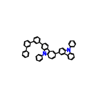 C1=CC(c2ccc3c(c2)c2ccccc2n3-c2ccccc2)=Cc2c(n(-c3ccccc3)c3cc(-c4cccc(-c5cccc(-c6ccccc6)c5)c4)ccc23)C1